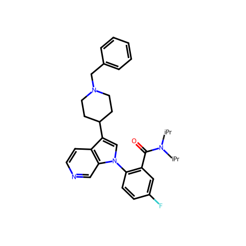 CC(C)N(C(=O)c1cc(F)ccc1-n1cc(C2CCN(Cc3ccccc3)CC2)c2ccncc21)C(C)C